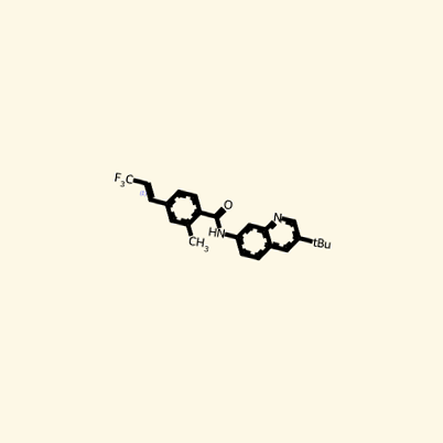 Cc1cc(/C=C/C(F)(F)F)ccc1C(=O)Nc1ccc2cc(C(C)(C)C)cnc2c1